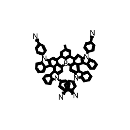 Cc1cc2c3c(c1)-c1cc4c(c5ccccc5n4-c4ccc(C#N)cc4)c4c1c(cc1c4c4ccccc4n1-c1ccc(C#N)cc1)B3c1cc3c(c4ccccc4n3-c3ccc(C#N)cc3)c3c1c-2cc1c3c2ccccc2n1-c1ccc(C#N)cc1